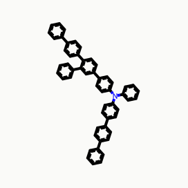 c1ccc(-c2ccc(-c3ccc(N(c4ccccc4)c4ccc(-c5ccc(-c6ccc(-c7ccccc7)cc6)c(-c6ccccc6)c5)cc4)cc3)cc2)cc1